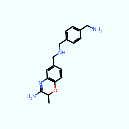 CC1Oc2ccc(CNCc3ccc(CN)cc3)cc2N=C1N